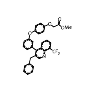 COC(=O)COc1ccc(Oc2cccc(-c3c(Cc4ccccc4)cnc4c(C(F)(F)F)cccc34)c2)cc1